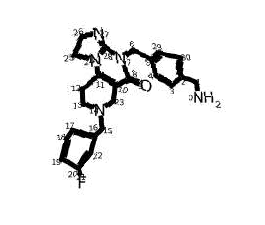 NCc1ccc(CN2C(=O)C3=C(CCN(Cc4cccc(F)c4)C3)N3CCN=C23)cc1